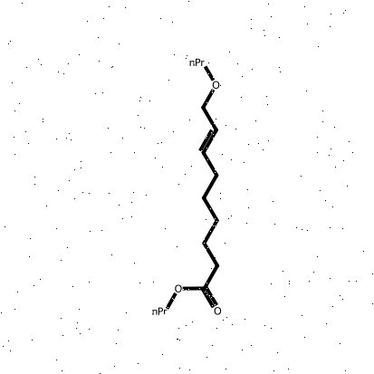 CCCOCC=CCCCCCC(=O)OCCC